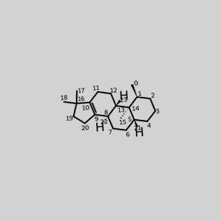 C[C@H]1CCC[C@@H]2CC[C@H]3C4=C(CC[C@@H]3[C@]21C)C(C)(C)CC4